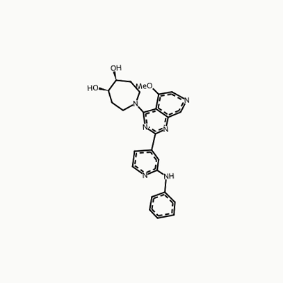 COc1cncc2nc(-c3ccnc(Nc4ccccc4)c3)nc(N3CC[C@@H](O)[C@@H](O)CC3)c12